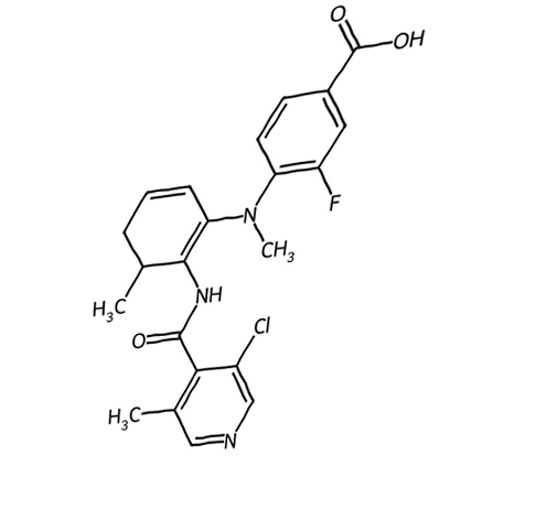 Cc1cncc(Cl)c1C(=O)NC1=C(N(C)c2ccc(C(=O)O)cc2F)C=CCC1C